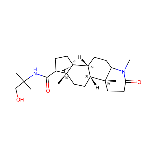 CN1C(=O)CC[C@@]2(C)C1CC[C@@H]1[C@H]2CC[C@]2(C)C(C(=O)NC(C)(C)CO)CC[C@@H]12